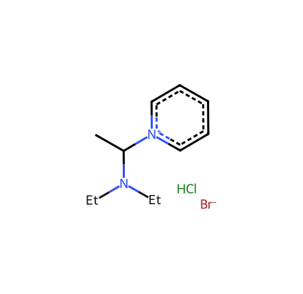 CCN(CC)C(C)[n+]1ccccc1.Cl.[Br-]